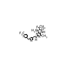 Cc1nc(NCc2cnn(Cc3ccc(C(F)(F)F)nc3)c2)nc2c1NC(=O)[C@H]([C@H](C)F)N2C